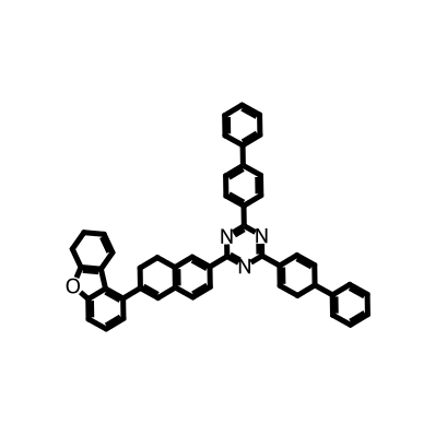 C1=Cc2c(oc3cccc(C4=Cc5ccc(-c6nc(C7=CCC(c8ccccc8)C=C7)nc(-c7ccc(-c8ccccc8)cc7)n6)cc5CC4)c23)CC1